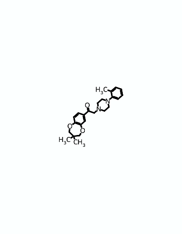 Cc1ccccc1N1CCN(CC(=O)c2ccc3c(c2)OCC(C)(C)CO3)CC1